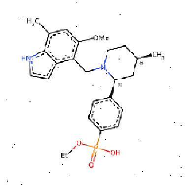 CCOP(=O)(O)c1ccc([C@@H]2C[C@H](C)CCN2Cc2c(OC)cc(C)c3[nH]ccc23)cc1